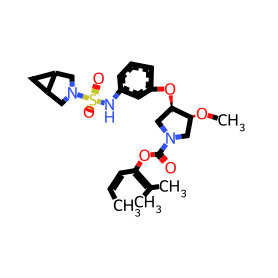 C/C=C\C(OC(=O)N1C[C@@H](OC)[C@H](Oc2cccc(NS(=O)(=O)N3CC4CC4C3)c2)C1)=C(C)C